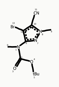 CN(C(=O)OC(C)(C)C)c1nn(C)c(C#N)c1Br